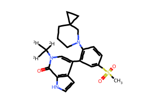 [2H]C([2H])([2H])n1cc(-c2cc(S(C)(=O)=O)ccc2N2CCCC3(CC3)C2)c2cc[nH]c2c1=O